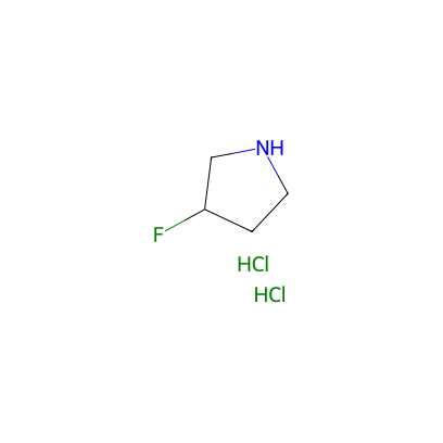 Cl.Cl.FC1CCNC1